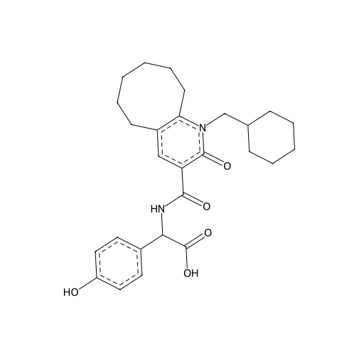 O=C(NC(C(=O)O)c1ccc(O)cc1)c1cc2c(n(CC3CCCCC3)c1=O)CCCCCC2